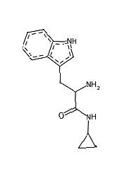 NC(Cc1c[nH]c2ccccc12)C(=O)NC1CC1